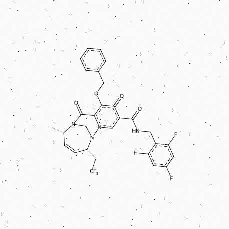 C[C@H]1C=C[C@@H](CC(F)(F)F)N2CN1C(=O)c1c(OCc3ccccc3)c(=O)c(C(=O)NCc3c(F)cc(F)cc3F)cn12